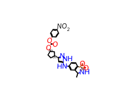 CC1NS(=O)(=O)c2ccc(Nc3cc([C@H]4CC[C@@H](OC(=O)Oc5ccc([N+](=O)[O-])cc5)C4)n[nH]3)cc21